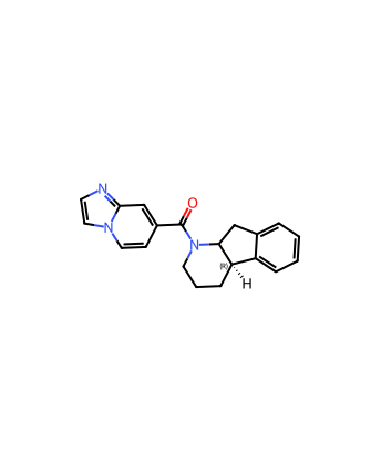 O=C(c1ccn2ccnc2c1)N1CCC[C@@H]2c3ccccc3CC21